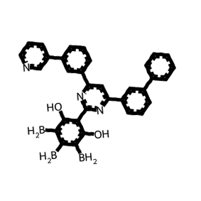 Bc1c(B)c(O)c(-c2nc(-c3cccc(-c4ccccc4)c3)cc(-c3cccc(-c4cccnc4)c3)n2)c(O)c1B